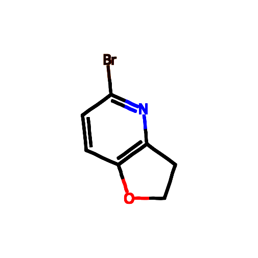 Brc1ccc2c(n1)CCO2